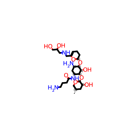 C[C@@H]1CO[C@H](O[C@@H]2[C@@H](O)[C@H](O[C@@H]3CCC=C(CNCC(O)CO)O3)[C@@H](N)C[C@H]2NC(=O)CCCN)[C@H](O)C1